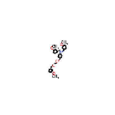 COc1cccc(COCCOCc2ccc(N(Cc3cccc(OC)c3)Cc3cccc(OC)c3)cc2)c1